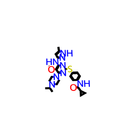 COc1c(Nc2cc(C)[nH]n2)nc(Sc2ccc(NC(=O)C3CC3)cc2)nc1N1CCN(C(C)C)CC1